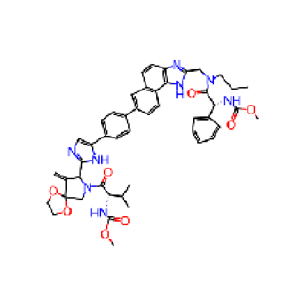 C=C1[C@@H](c2ncc(-c3ccc(-c4ccc5c(ccc6nc(CN(CCC)C(=O)[C@H](NC(=O)OC)c7ccccc7)[nH]c65)c4)cc3)[nH]2)N(C(=O)[C@@H](NC(=O)OC)C(C)C)CC12OCCO2